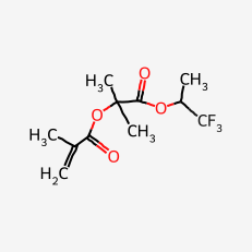 C=C(C)C(=O)OC(C)(C)C(=O)OC(C)C(F)(F)F